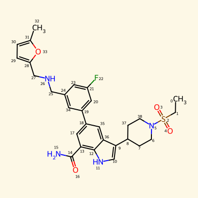 CCS(=O)(=O)N1CCC(c2c[nH]c3c(C(N)=O)cc(-c4cc(F)cc(CNCc5ccc(C)o5)c4)cc23)CC1